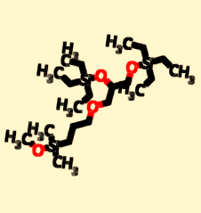 CC[Si](CC)(CC)OCC(COCCC[Si](C)(C)OC)O[Si](CC)(CC)CC